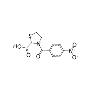 O=C(O)C1SCCN1C(=O)c1ccc([N+](=O)[O-])cc1